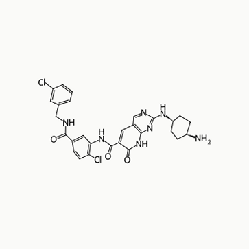 N[C@H]1CC[C@@H](Nc2ncc3cc(C(=O)Nc4cc(C(=O)NCc5cccc(Cl)c5)ccc4Cl)c(=O)[nH]c3n2)CC1